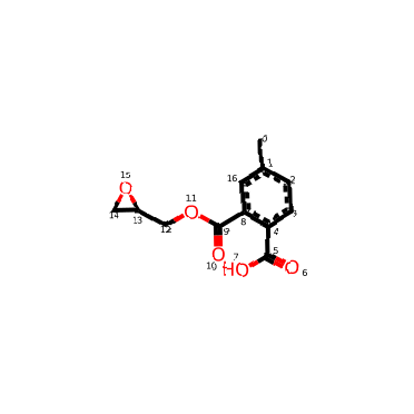 Cc1ccc(C(=O)O)c(C(=O)OCC2CO2)c1